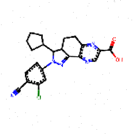 N#Cc1ccc(N2N=C3c4ncc(C(=O)O)nc4CCC3C2C2CCCC2)cc1Cl